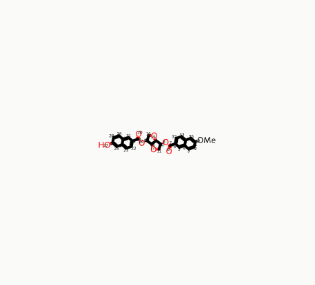 COc1ccc2cc(C(=O)O[C@@H]3COC4C3OC[C@H]4OC(=O)c3ccc4cc(O)ccc4c3)ccc2c1